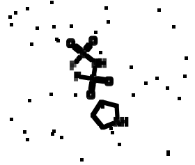 C1CCNC1.O=S(=O)(F)NS(=O)(=O)F